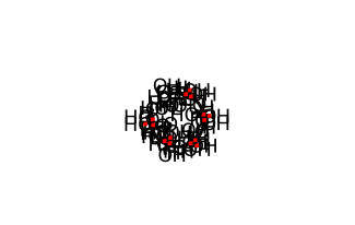 O=P(O)(O)OC[C@H]1O[C@@H]2O[C@H]3[C@H](O)[C@@H](O)[C@@H](O[C@H]4[C@H](O)[C@@H](O)[C@@H](O[C@H]5[C@H](O)[C@@H](O)[C@@H](O[C@H]6[C@H](O)[C@@H](O)[C@@H](O[C@H]7[C@H](O)[C@@H](O)[C@@H](O[C@H]1[C@H](O)[C@H]2O)O[C@@H]7CO)O[C@@H]6CO)O[C@@H]5CO)O[C@@H]4CO)O[C@@H]3CO